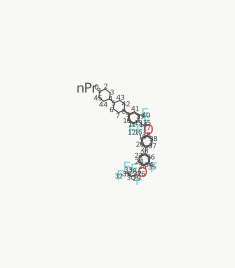 CCCC1CCC(C2CCC(c3cc(F)c(C(F)(F)Oc4ccc(-c5ccc(OC(F)(F)C=C(F)F)c(F)c5)cc4)c(F)c3)CC2)CC1